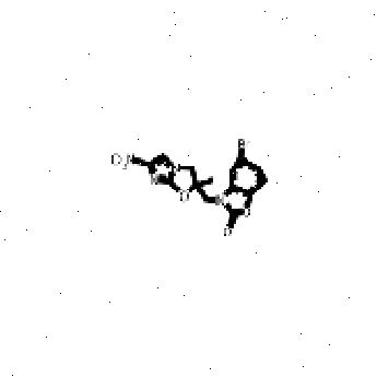 CC1(Cn2c(=O)oc3ccc(Br)cc32)Cn2cc([N+](=O)[O-])nc2O1